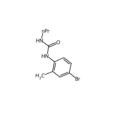 CCCNC(=O)Nc1ccc(Br)cc1C